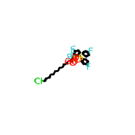 O=C(OCCCCCCCCCCCCl)C(F)(F)S(=O)(=O)OS(c1ccc(F)cc1)(c1ccc(F)cc1)c1ccc(F)cc1